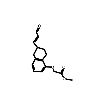 COC(=O)COc1cccc2c1CCC(C=CC=O)C2